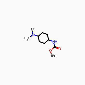 CCN(C)C1CCC(NC(=O)OC(C)(C)C)CC1